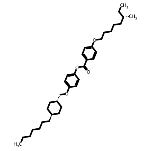 CCCCCCC[C@H]1CC[C@H](COc2ccc(OC(=O)c3ccc(OCCCCC[C@@H](C)CC)cc3)cc2)CC1